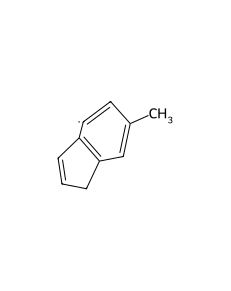 Cc1c[c]c2c(c1)CC=C2